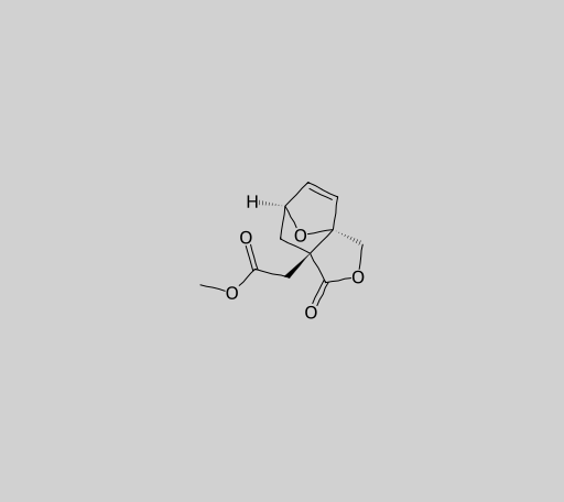 COC(=O)C[C@@]12C[C@H]3C=C[C@]1(COC2=O)O3